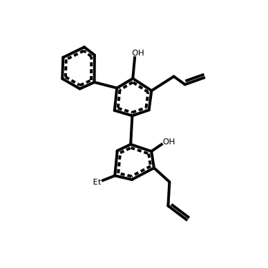 C=CCc1cc(CC)cc(-c2cc(CC=C)c(O)c(-c3ccccc3)c2)c1O